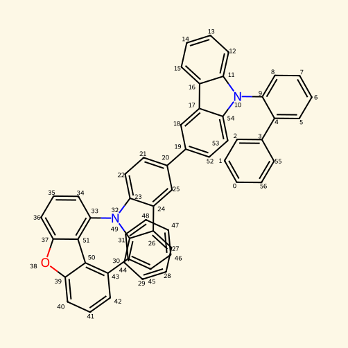 c1ccc(-c2ccccc2-n2c3ccccc3c3cc(-c4ccc5c(c4)c4ccccc4n5-c4cccc5oc6cccc(-c7ccccc7)c6c45)ccc32)cc1